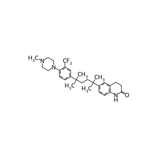 CN1CCN(c2ccc(C(C)(C)CCC(C)(C)c3ccc4c(c3)CCC(=O)N4)cc2C(F)(F)F)CC1